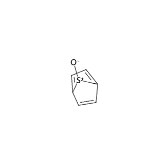 [O-][s+]1c2ccc1cc2